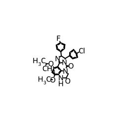 COc1cc(OC(C)C)c2c3c1NC(=O)CN3C(=O)N1C2=NC(c2ccc(F)cc2)C1c1ccc(Cl)cc1